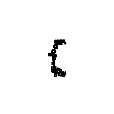 CNNC(=O)c1ccc(-c2ccc(NC(=O)COCCOCCNc3cccc4c3C(=O)C(C3CCC(=O)NC3=O)C4=O)cc2)cc1